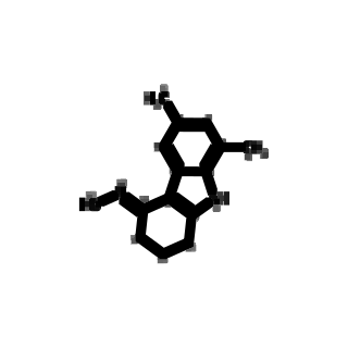 Cc1cc(C)c2[nH]c3c(c2c1)/C(=N/O)CCC3